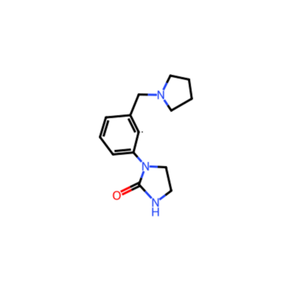 O=C1NCCN1c1[c]c(CN2CCCC2)ccc1